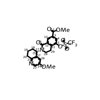 COC(=O)c1cc(OS(=O)(=O)C(F)(F)F)c2c(c1)C(=O)N([C@H]1CCCc3ncc(OC)cc31)CC2